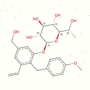 C=Cc1cc(CO)cc(O[C@@H]2O[C@H]([C@@H](C)O)[C@@H](O)[C@H](O)[C@H]2O)c1Cc1ccc(OC)cc1